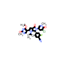 COc1ncc(-c2cc3c(n2C(C)C)[C@H](c2ccc(C#N)c(F)c2)N(c2cc(Cl)c(=O)n(C)c2)C3=O)c(OC)n1